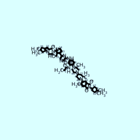 C=CC(=O)Nc1cc(Nc2nc(-c3ccnc(N4CCn5c(cc6c5CC(C)(C)C6)C4=O)c3CO)cnc2OC)ccc1N1CCN(C2CCN(c3cc4c(cc3C)C(=O)N(C3CCC(C)(C)CC3)C4=O)[C@@H](C)C2)C[C@@H]1C